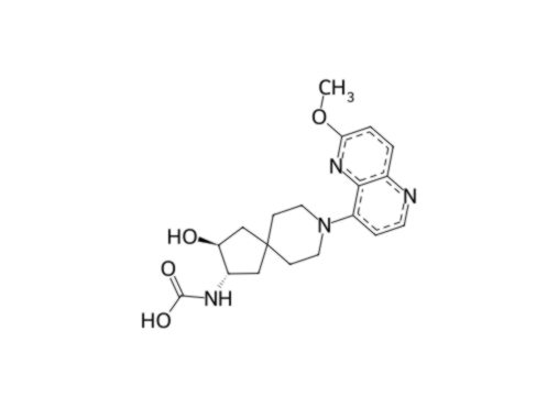 COc1ccc2nccc(N3CCC4(CC3)C[C@H](NC(=O)O)[C@@H](O)C4)c2n1